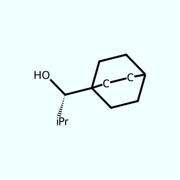 CC(C)[C@H](O)C12CCC(CC1)CC2